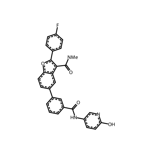 CNC(=O)c1c(-c2ccc(F)cc2)oc2ccc(-c3cccc(C(=O)Nc4ccc(O)nc4)c3)cc12